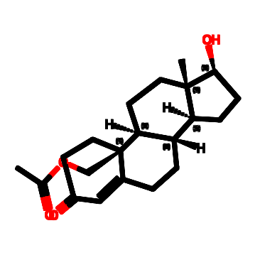 CC(=O)OC[C@]12CCC(=O)C=C1CC[C@@H]1[C@@H]2CC[C@]2(C)[C@@H](O)CC[C@@H]12